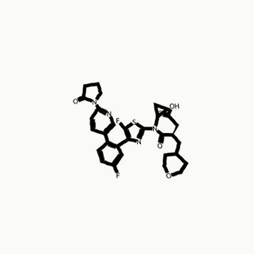 O=C(O)C[C@@H](CC1CCOCC1)C(=O)N(c1nc(-c2cc(F)ccc2-c2ccc(N3CCCC3=O)nc2)c(F)s1)C1CC1